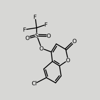 O=c1cc(OS(=O)(=O)C(F)(F)F)c2cc(Cl)ccc2o1